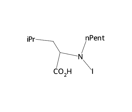 CCCCCN(I)C(CC(C)C)C(=O)O